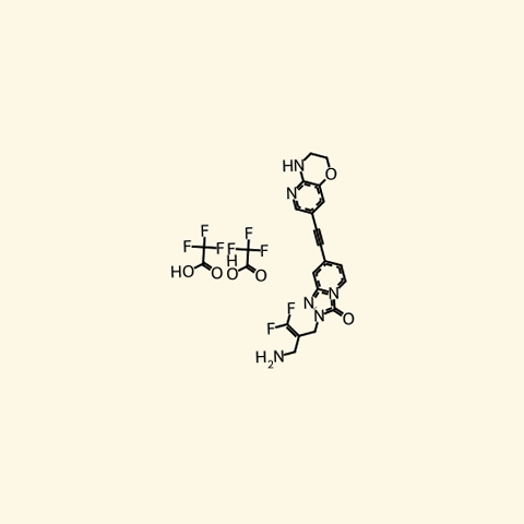 NCC(Cn1nc2cc(C#Cc3cnc4c(c3)OCCN4)ccn2c1=O)=C(F)F.O=C(O)C(F)(F)F.O=C(O)C(F)(F)F